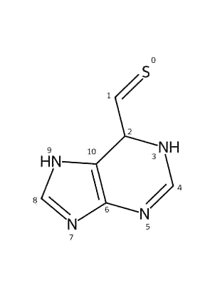 S=CC1NC=Nc2nc[nH]c21